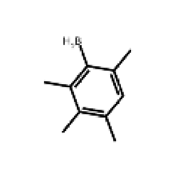 Bc1c(C)cc(C)c(C)c1C